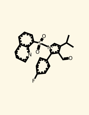 CC(C)c1cn(S(=O)(=O)c2cccc3cccnc23)c(-c2ccc(F)cc2)c1C=O